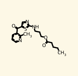 CCCCC(=O)OCCCNc1ncc(C(=O)c2cccnc2C)s1